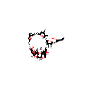 C=C1CC2CC[C@@]34C[C@H]5O[C@H]6[C@@H](O3)[C@H]3OC(CC[C@@H]3O[C@H]6C5O4)CC(=O)C[C@H]3C(C[C@H]4OC(CC[C@@H]1O2)C[C@@H](C)C4=C)O[C@H](C[C@H](O)CC)[C@@H]3C